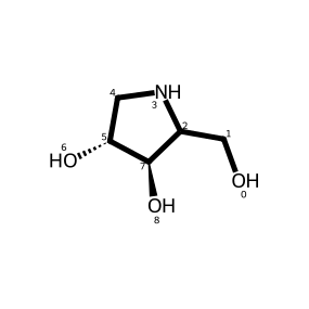 OCC1NC[C@@H](O)[C@@H]1O